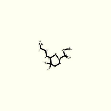 CC(C)(C)OC(=O)N1CCC(F)(F)C(CCCC#N)C1